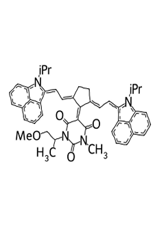 COCC(C)N1C(=O)C(=C2/C(=C/C=c3\c4cccc5cccc(c54)n3C(C)C)CC/C2=C\C=c2/c3cccc4cccc(c43)n2C(C)C)C(=O)N(C)C1=O